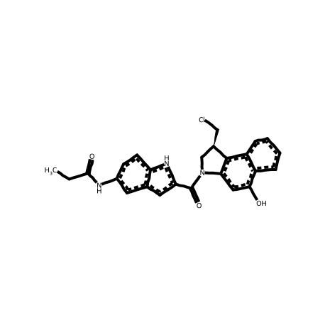 CCC(=O)Nc1ccc2[nH]c(C(=O)N3C[C@@H](CCl)c4c3cc(O)c3ccccc43)cc2c1